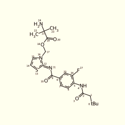 CC(C)(C)CC(=O)Nc1ccc(C(=O)N=c2sccn2COC(=O)C(C)(C)N)cc1F